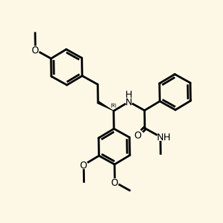 CNC(=O)C(N[C@H](CCc1ccc(OC)cc1)c1ccc(OC)c(OC)c1)c1ccccc1